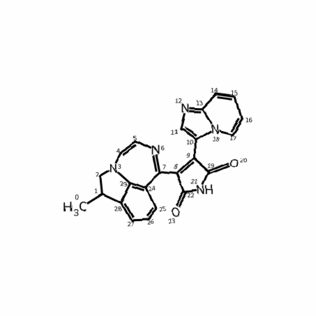 CC1CN2C=CN=C(C3=C(c4cnc5ccccn45)C(=O)NC3=O)c3cccc1c32